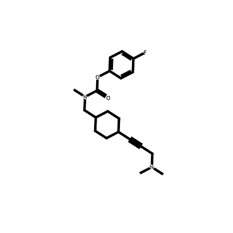 CN(C)CC#CC1CCC(CN(C)C(=O)Oc2ccc(F)cc2)CC1